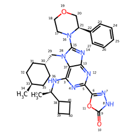 C[C@@H](Nc1nc(-c2n[nH]c(=O)o2)nc2nc(N3CCOC[C@H]3c3ccccc3)n(C[C@H]3CC[C@H](C)CC3)c12)C1CCC1